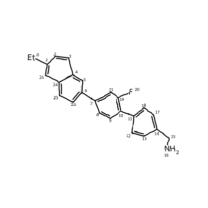 CCc1ccc2cc(-c3ccc(-c4ccc(CN)cc4)c(F)c3)ccc2c1